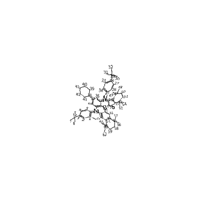 Cc1cc(C(C)(C)C)ccc1N1c2cc3c(cc2B2c4sc5c(c4N(c4ccc(C(C)(C)C)cc4)c4cc(C6CCCCC6)cc1c42)C(C)(C)CCC5(C)C)C(C)(C)CCC3(C)C